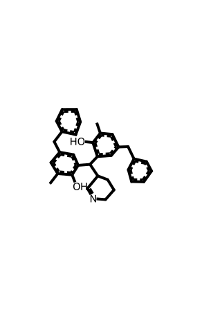 Cc1cc(Cc2ccccc2)cc(C(c2cc(Cc3ccccc3)cc(C)c2O)C2C=NCCC2)c1O